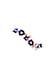 O=C1C(Oc2ccc(-n3ccnc3)cc2)CCN1c1ccc(S(=O)(=O)Nc2nccs2)cc1